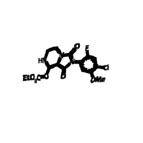 CCOC(=O)OC1NCCN2C(=O)N(c3cc(OC)c(Cl)cc3F)C(=O)C12